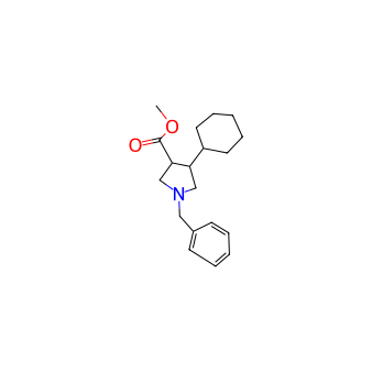 COC(=O)C1CN(Cc2ccccc2)CC1C1CCCCC1